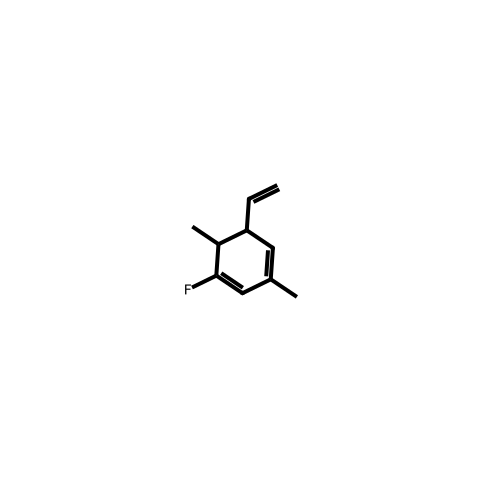 C=CC1C=C(C)C=C(F)C1C